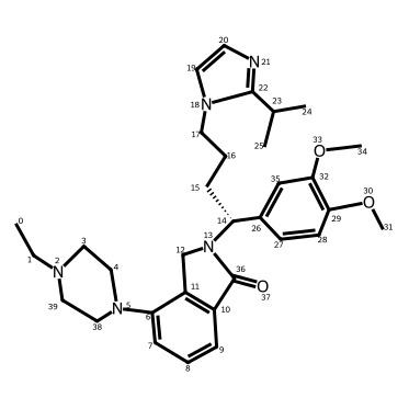 CCN1CCN(c2cccc3c2CN([C@H](CCCn2ccnc2C(C)C)c2ccc(OC)c(OC)c2)C3=O)CC1